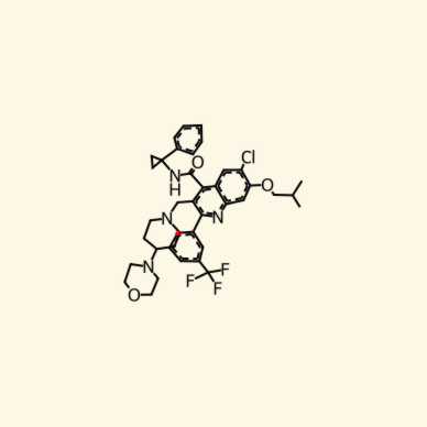 CC(C)COc1cc2nc(-c3cccc(C(F)(F)F)c3)c(CN3CCC(N4CCOCC4)CC3)c(C(=O)NC3(c4ccccc4)CC3)c2cc1Cl